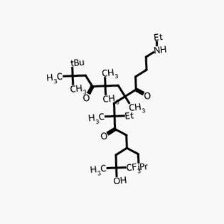 CCNCCCC(=O)C(C)(CC(C)(C)C(=O)CC(C)(C)C(C)(C)C)CC(C)(CC)C(=O)CC(CC(C)C)CC(C)(O)C(F)(F)F